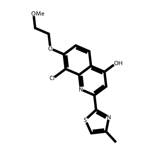 COCCOc1ccc2c(O)cc(-c3nc(C)cs3)nc2c1Cl